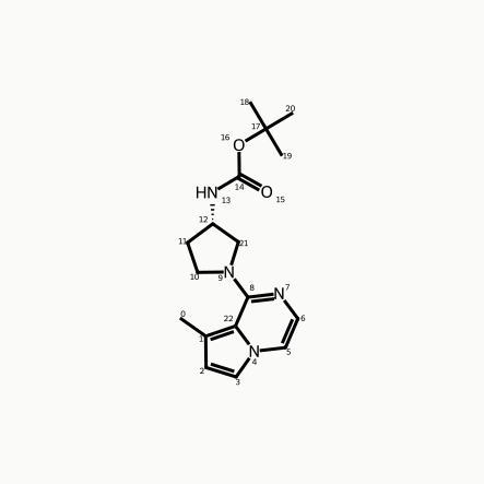 Cc1ccn2ccnc(N3CC[C@H](NC(=O)OC(C)(C)C)C3)c12